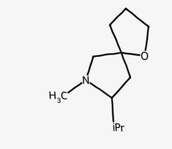 CC(C)C1CC2(CCCO2)CN1C